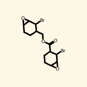 O=C(OCC1CCC2OC2C1Br)C1CCC2OC2C1Br